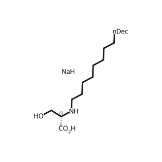 CCCCCCCCCCCCCCCCCCN[C@@H](CO)C(=O)O.[NaH]